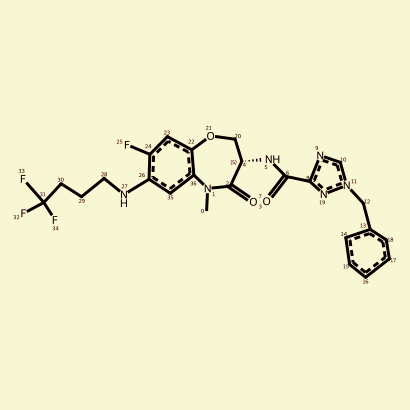 CN1C(=O)[C@@H](NC(=O)c2ncn(Cc3ccccc3)n2)COc2cc(F)c(NCCCC(F)(F)F)cc21